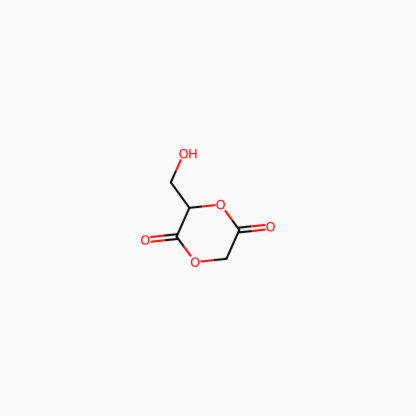 O=C1COC(=O)C(CO)O1